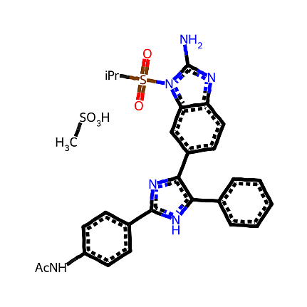 CC(=O)Nc1ccc(-c2nc(-c3ccc4nc(N)n(S(=O)(=O)C(C)C)c4c3)c(-c3ccccc3)[nH]2)cc1.CS(=O)(=O)O